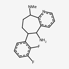 CNC1CCC(c2cccc(F)c2F)C(N)c2cccnc21